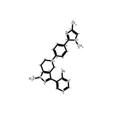 CC(C)c1ncncc1-c1nn(C)c2c1CN(c1ccc(-c3nc(C(F)(F)F)cn3C)cc1)CC2